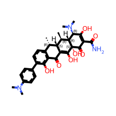 C[C@@H]1[C@@H]2C(=C(O)[C@]3(O)C(=O)C(C(N)=O)=C(O)[C@H](N(C)C)[C@@H]13)C(=O)c1c(ccc(-c3ccc(N(C)C)cc3)c1O)[C@@H]2C